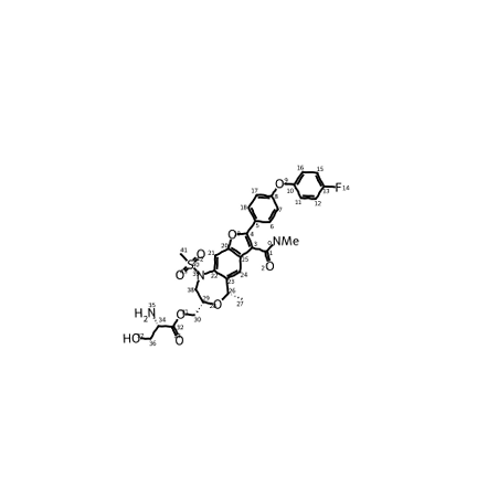 CNC(=O)c1c(-c2ccc(Oc3ccc(F)cc3)cc2)oc2cc3c(cc12)[C@H](C)O[C@H](COC(=O)[C@@H](N)CO)CN3S(C)(=O)=O